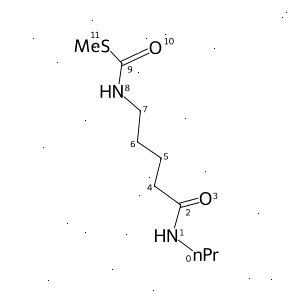 CCCNC(=O)CCCCNC(=O)SC